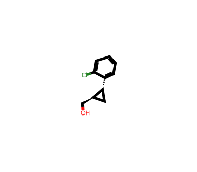 OC[C@@H]1C[C@H]1c1ccccc1Cl